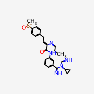 CC/C=N\C(=C/Cc1ccc([S+](C)[O-])cc1)C(=O)Nc1cccc(C(=N)N(C=N)C2CC2)c1